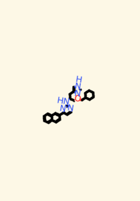 c1ccc2cc(-c3ccnc(NC(COCC4CCCCC4)Cc4c[nH]cn4)n3)ccc2c1